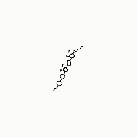 C/C=C/C1CCC(C2CC=C(c3ccc(-c4ccc(-c5ccc(OCCCCC)c(F)c5F)cc4)c(F)c3F)CC2)CC1